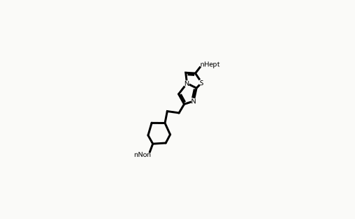 CCCCCCCCCC1CCC(CCc2cn3cc(CCCCCCC)sc3n2)CC1